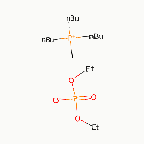 CCCC[P+](C)(CCCC)CCCC.CCOP(=O)([O-])OCC